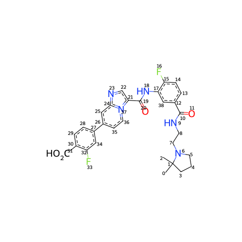 CC1(C)CCCN1CCNC(=O)c1ccc(F)c(NC(=O)c2cnc3cc(-c4ccc(C(=O)O)c(F)c4)ccn23)c1